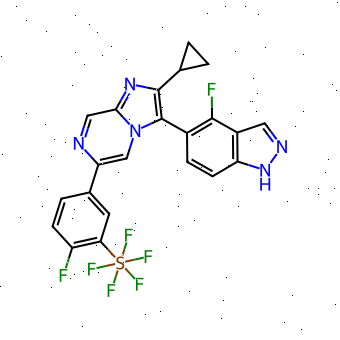 Fc1ccc(-c2cn3c(-c4ccc5[nH]ncc5c4F)c(C4CC4)nc3cn2)cc1S(F)(F)(F)(F)F